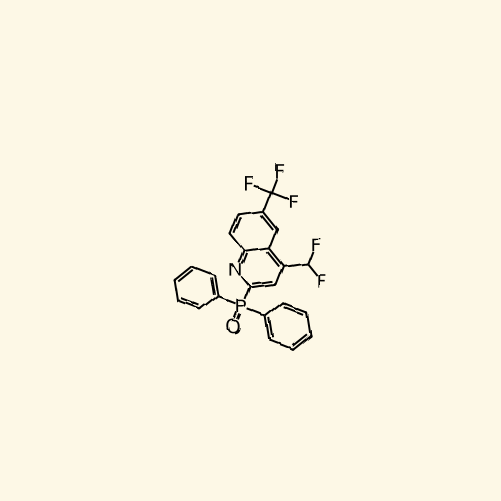 O=P(c1ccccc1)(c1ccccc1)c1cc(C(F)F)c2cc(C(F)(F)F)ccc2n1